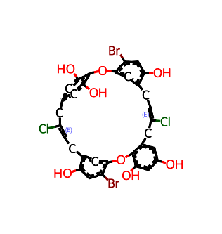 Oc1cc(O)c2c(c1)C/C(Cl)=C\Cc1cc(c(Br)cc1O)Oc1c(O)cc(cc1O)C/C(Cl)=C\Cc1cc(c(Br)cc1O)O2